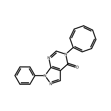 O=c1c2cnn(-c3ccccc3)c2ncn1C1=CC=CC=CC=C1